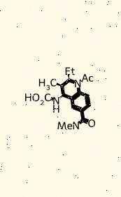 CC[C@H]1[C@H](C)[C@@H](NC(=O)O)c2cc(C(=O)NC)ccc2N1C(C)=O